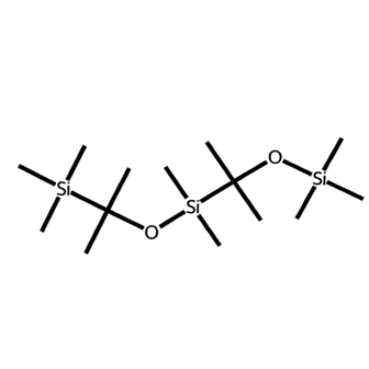 CC(C)(O[Si](C)(C)C(C)(C)O[Si](C)(C)C)[Si](C)(C)C